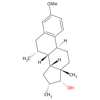 COc1ccc2c(c1)C[C@@H](C)[C@@H]1[C@@H]2CC[C@]2(C)[C@H](O)[C@H](C)C[C@H]12